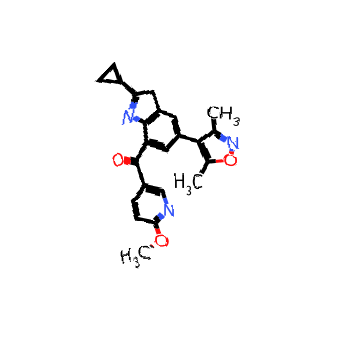 COc1ccc(C(=O)c2cc(-c3c(C)noc3C)cc3c2N=C(C2CC2)C3)cn1